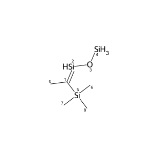 CC(=[SiH]O[SiH3])[Si](C)(C)C